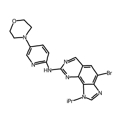 CC(C)n1cnc2c(Br)cc3cnc(Nc4ccc(N5CCOCC5)cn4)nc3c21